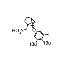 CC(C)(C)c1cccc(I)c1C(C)(C)C.CC1(C)C2CCC1(CS(=O)(=O)O)C(=O)C2